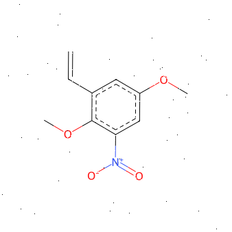 C=Cc1cc(OC)cc([N+](=O)[O-])c1OC